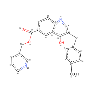 O=C(O)c1ccc(Cc2cnc3ccc(C(=O)OCc4cccnc4)cc3c2O)cc1